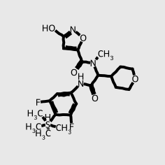 CN(C(=O)c1cc(O)no1)C(C(=O)Nc1cc(F)c([SH](C)(C)(C)C)c(F)c1)C1CCOCC1